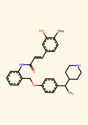 COc1ccc(/C=C/C(=O)Nc2ccccc2COc2ccc(C(C)C3CCNCC3)cc2)cc1O